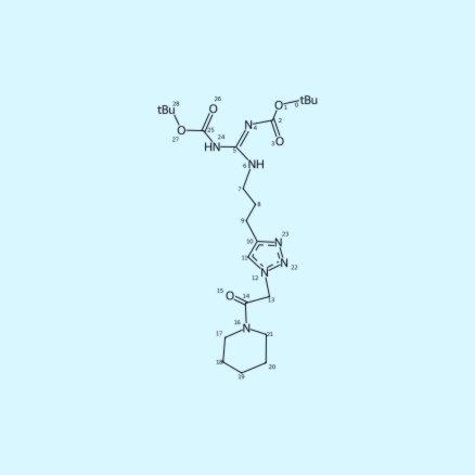 CC(C)(C)OC(=O)/N=C(\NCCCc1cn(CC(=O)N2CCCCC2)nn1)NC(=O)OC(C)(C)C